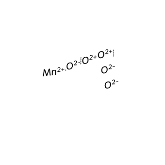 [Mn+2].[O+2].[O+2].[O-2].[O-2].[O-2]